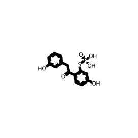 O=C(Cc1cccc(O)c1)c1ccc(O)cc1SP(=O)(O)O